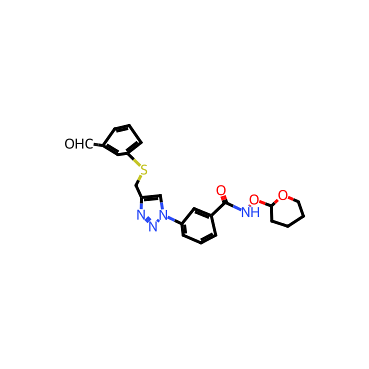 O=Cc1cccc(SCc2cn(-c3cccc(C(=O)NOC4CCCCO4)c3)nn2)c1